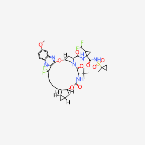 COc1ccc2nc3c(nc2c1)O[C@@H]1C[C@@H](C(=O)N[C@]2(C(=O)NS(=O)(=O)C4(C)CC4)CC2C(F)F)N(C1)C(=O)[C@H](C(C)(C)C)NC(=O)O[C@@H]1C[C@@H]2C[C@@H]2[C@H]1CCCCC3(F)F